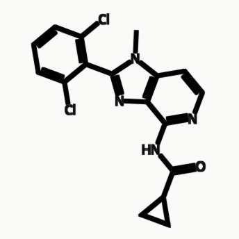 Cn1c(-c2c(Cl)cccc2Cl)nc2c(NC(=O)C3CC3)nccc21